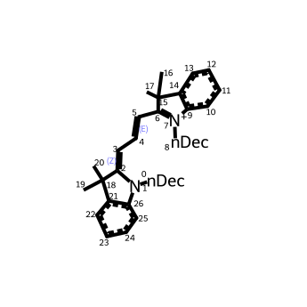 CCCCCCCCCCN1/C(=C\C=C\C2=[N+](CCCCCCCCCC)c3ccccc3C2(C)C)C(C)(C)c2ccccc21